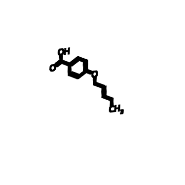 CCC=CCOc1ccc(C(=O)O)cc1